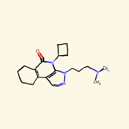 CN(C)CCCn1ncc2c3c(c(=O)n(C4CCC4)c21)CCCC3